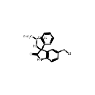 CCOC(=O)N(NC1(c2ccccc2)C(=O)Nc2ccc(OCC)cc21)C(=O)OCC